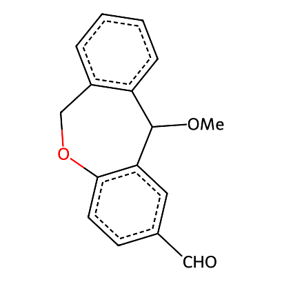 COC1c2ccccc2COc2ccc(C=O)cc21